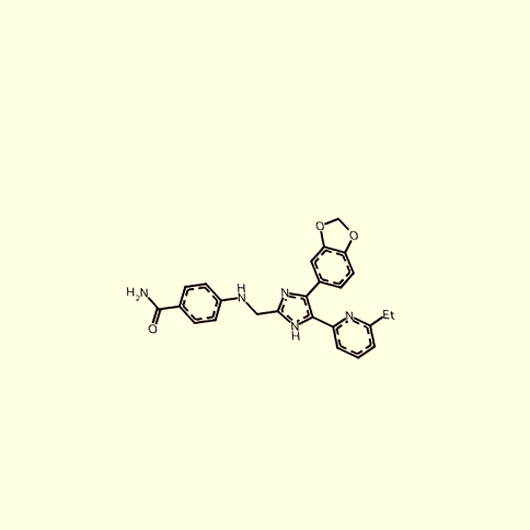 CCc1cccc(-c2[nH]c(CNc3ccc(C(N)=O)cc3)nc2-c2ccc3c(c2)OCO3)n1